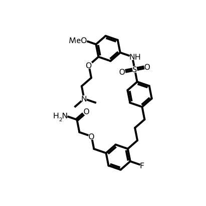 COc1ccc(NS(=O)(=O)c2ccc(CCCc3cc(COCC(N)=O)ccc3F)cc2)cc1OCCN(C)C